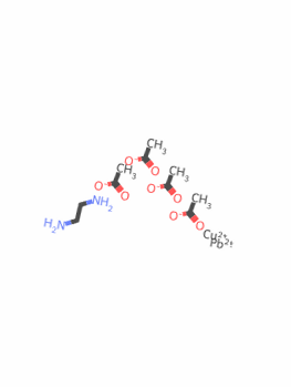 CC(=O)[O-].CC(=O)[O-].CC(=O)[O-].CC(=O)[O-].NCCN.[Cu+2].[Pb+2]